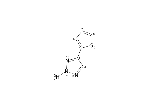 [2H]n1ncc(-c2cccs2)n1